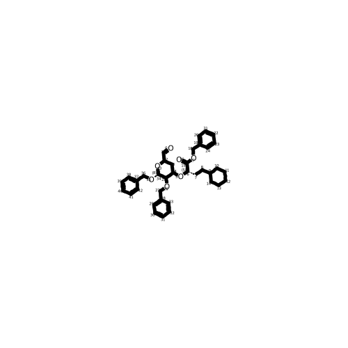 O=CC1CC(O[C@@H](CCC2CCCCC2)C(=O)OCc2ccccc2)C(OCc2ccccc2)[C@H](OCc2ccccc2)O1